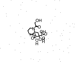 O=C(CO)N1CCCCC1CC(O)(P(=O)(O)O)P(=O)(O)O